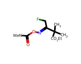 CCOC(=O)C(C)(C)C(CF)=NOC(=O)NC